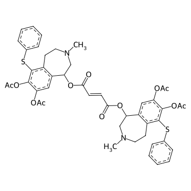 CC(=O)Oc1cc2c(c(Sc3ccccc3)c1OC(C)=O)CCN(C)CC2OC(=O)/C=C/C(=O)OC1CN(C)CCc2c1cc(OC(C)=O)c(OC(C)=O)c2Sc1ccccc1